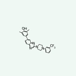 Cc1cc(-c2ccc3ncc(N4CCN(c5cccc(C(F)(F)F)c5)CC4)nc3c2)cc(C)c1O